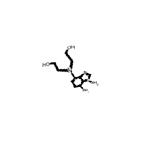 Nc1ccc(N(CCO)CCO)c2ncn(N)c12